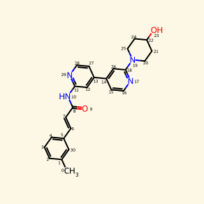 Cc1cccc(/C=C/C(=O)Nc2cc(-c3ccnc(N4CCC(O)CC4)c3)ccn2)c1